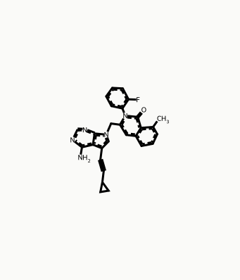 Cc1cccc2cc(Cn3cc(C#CC4CC4)c4c(N)ncnc43)n(-c3ccccc3F)c(=O)c12